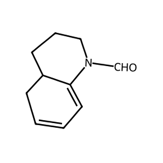 O=CN1CCCC2CC=CC=C21